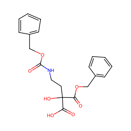 O=C(NCCC(O)(C(=O)O)C(=O)OCc1ccccc1)OCc1ccccc1